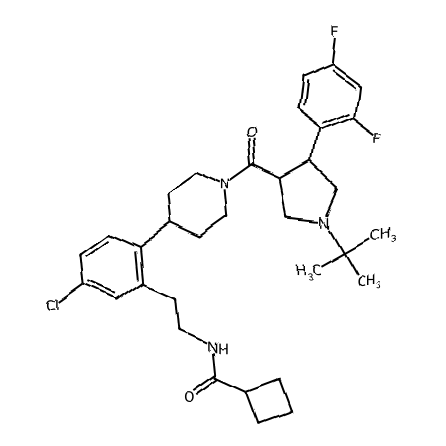 CC(C)(C)N1CC(C(=O)N2CCC(c3ccc(Cl)cc3CCNC(=O)C3CCC3)CC2)C(c2ccc(F)cc2F)C1